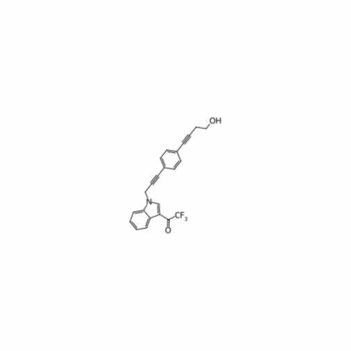 O=C(c1cn(CC#Cc2ccc(C#CCCO)cc2)c2ccccc12)C(F)(F)F